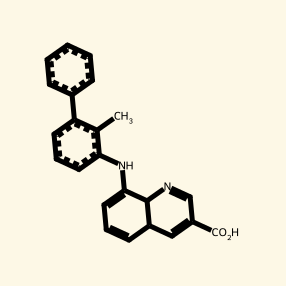 Cc1c(NC2=CC=CC3C=C(C(=O)O)C=NC23)cccc1-c1ccccc1